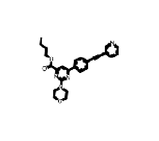 CCCCOC(=O)c1cc(-c2ccc(C#Cc3cccnc3)cc2)nc(N2CCOCC2)n1